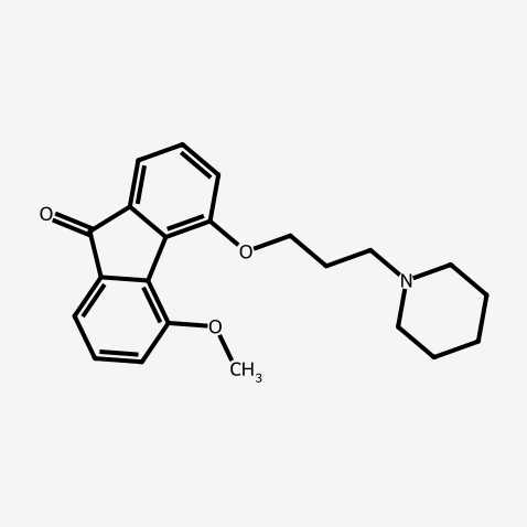 COc1cccc2c1-c1c(OCCCN3CCCCC3)cccc1C2=O